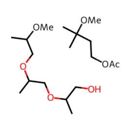 COC(C)(C)CCOC(C)=O.COC(C)COC(C)COC(C)CO